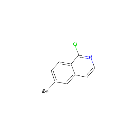 CCC(C)c1ccc2c(Cl)nccc2c1